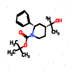 [2H]C(C)(O)[C@@H]1CCN(C(=O)OC(C)(C)C)[C@H](c2ccccc2)C1